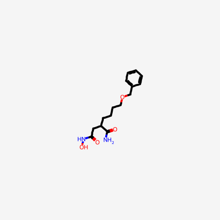 NC(=O)C(CCCCOCc1ccccc1)CC(=O)NO